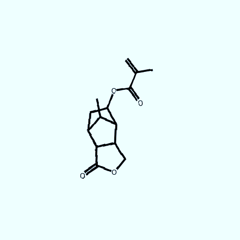 C=C(C)C(=O)OC1CC2C(C)C1C1COC(=O)C21